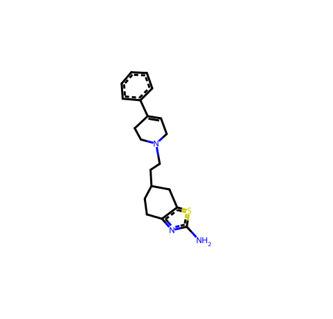 Nc1nc2c(s1)CC(CCN1CC=C(c3ccccc3)CC1)CC2